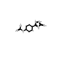 O=C(Cl)OC1CCC(c2noc(=O)o2)CC1